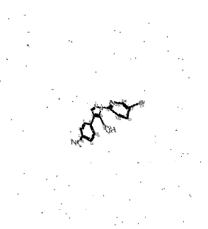 N#Cc1ccc(-c2cnn(-c3ccc(Br)cn3)c2O)cc1